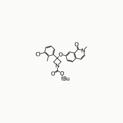 Cc1c(Cl)cccc1C1(Oc2ccc3ccn(C)c(=O)c3c2)CN(C(=O)OC(C)(C)C)C1